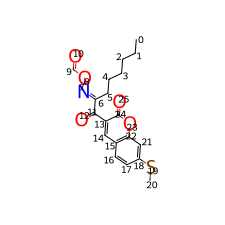 CCCCCC/C(=N\OC=O)C(=O)c1cc2ccc(SC)cc2oc1=O